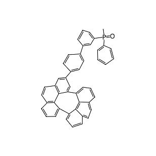 CP(=O)(c1ccccc1)c1cccc(-c2ccc(-c3cc4ccc5cccc6c7cccc8ccc9cccc(c(c3)c4c56)c9c87)cc2)c1